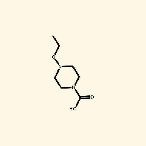 CCON1CCN(C(=O)O)CC1